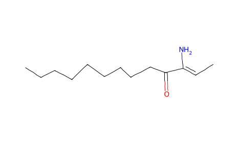 CC=C(N)C(=O)CCCCCCCCC